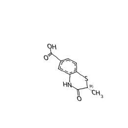 C[C@H]1Sc2ccc(C(=O)O)cc2NC1=O